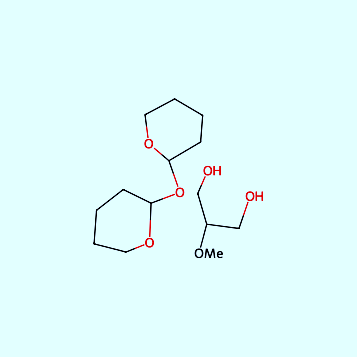 C1CCC(OC2CCCCO2)OC1.COC(CO)CO